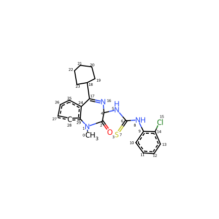 CN1C(=O)C(NC(=S)Nc2ccccc2Cl)N=C(C2CCCCC2)c2ccccc21